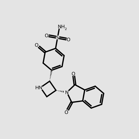 NS(=O)(=O)C1=CC=C([C@H]2NC[C@H]2N2C(=O)c3ccccc3C2=O)CC1=O